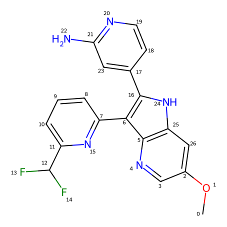 COc1cnc2c(-c3cccc(C(F)F)n3)c(-c3ccnc(N)c3)[nH]c2c1